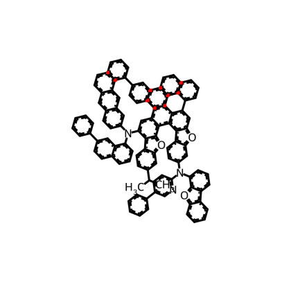 CC(C)c1ccc2c(c1)oc1c2c(N(c2ccc3cc4ccccc4cc3c2)c2cccc3ccc(-c4ccccc4)cc23)cc2c(-c3ccc(-c4ccccc4)cc3)c(-c3ccccc3)c3c(-c4ccccc4-c4ccccc4)cc4oc5cc(N(c6ccc(-c7ccccc7)cn6)c6cccc7c6oc6ccccc67)ccc5c4c3c21